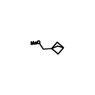 COCC12CC(C1)C2